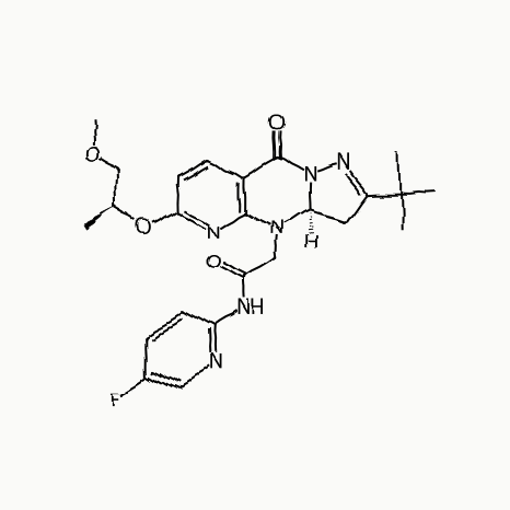 COC[C@H](C)Oc1ccc2c(n1)N(CC(=O)Nc1ccc(F)cn1)[C@@H]1CC(C(C)(C)C)=NN1C2=O